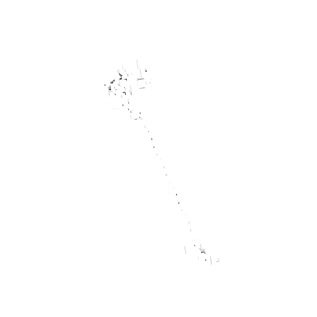 Cc1sc2c(c1C)C(c1ccc(Cl)cc1)=N[C@@H](CC(=O)Nc1ccc(OCCOCCOCCOCCOCCOCCOCCOCCOCCNC(=O)OC(C)(C)C)cc1)c1nnc(C)n1-2